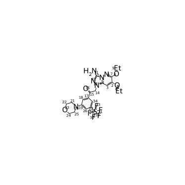 CCOc1cc2n(nc1OCC)c(N)n[n+]2CC(=O)c1cc(N2CCOCC2)cc(S(F)(F)(F)(F)F)c1